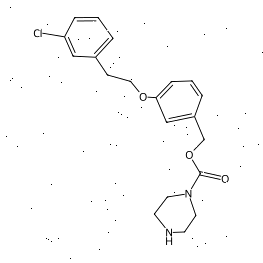 O=C(OCc1cccc(OCCc2cccc(Cl)c2)c1)N1CCNCC1